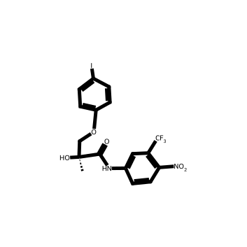 C[C@](O)(COc1ccc(I)cc1)C(=O)Nc1ccc([N+](=O)[O-])c(C(F)(F)F)c1